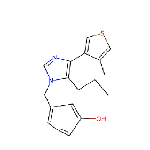 CCCc1c(-c2cscc2C)ncn1Cc1cccc(O)c1